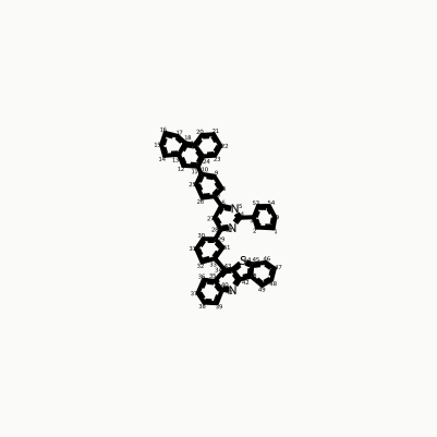 c1ccc(-c2nc(-c3ccc(-c4cc5ccccc5c5ccccc45)cc3)cc(-c3cccc(-c4c5ccccc5nc5c4sc4ccccc45)c3)n2)cc1